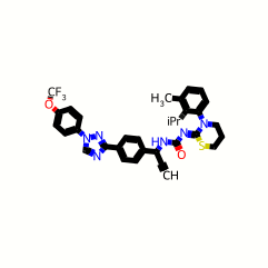 C#CC(NC(=O)/N=C1\SCCCN1c1cccc(C)c1C(C)C)c1ccc(-c2ncn(-c3ccc(OC(F)(F)F)cc3)n2)cc1